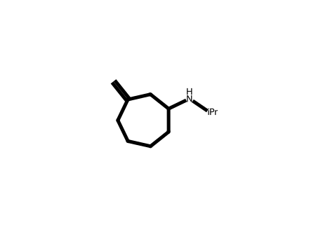 C=C1CCCCC(NC(C)C)C1